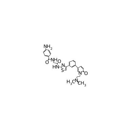 CN(C)CCn1cc(-c2cccc(-c3csc(NC(=O)CNC(=O)c4ccc(N)cc4)n3)c2)ccc1=O